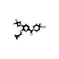 CC1(O)CCN(C(=O)c2ccc(N3CC(F)(F)C3)c(OCC3CC3)n2)CC1